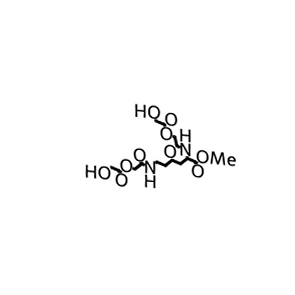 COC(=O)C(CCCCNC(=O)COC(=O)CO)NC(=O)COC(=O)CO